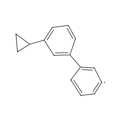 [c]1cccc(-c2cccc(C3CC3)c2)c1